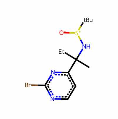 CCC(C)(N[S+]([O-])C(C)(C)C)c1ccnc(Br)n1